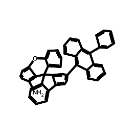 Nc1cccc2c1C1(c3ccccc3O2)c2ccccc2-c2ccc(-c3c4ccccc4c(-c4ccccc4)c4ccccc34)cc21